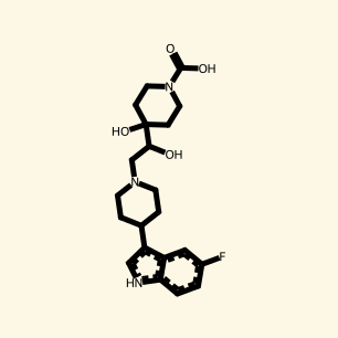 O=C(O)N1CCC(O)(C(O)CN2CCC(c3c[nH]c4ccc(F)cc34)CC2)CC1